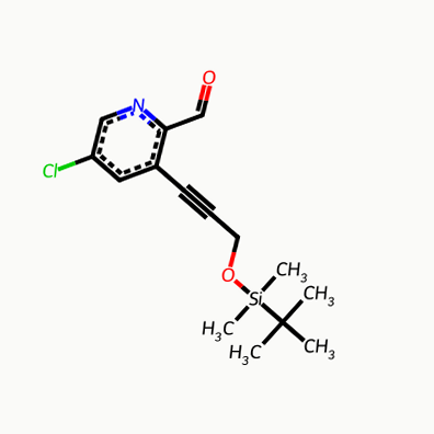 CC(C)(C)[Si](C)(C)OCC#Cc1cc(Cl)cnc1C=O